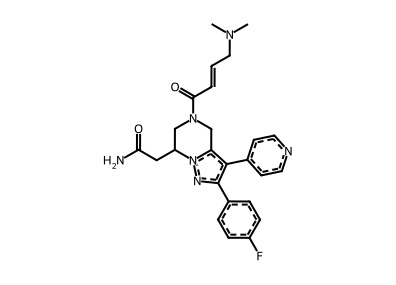 CN(C)C/C=C/C(=O)N1Cc2c(-c3ccncc3)c(-c3ccc(F)cc3)nn2C(CC(N)=O)C1